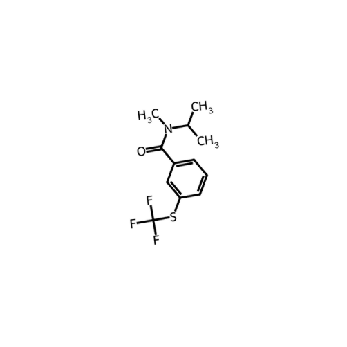 CC(C)N(C)C(=O)c1cccc(SC(F)(F)F)c1